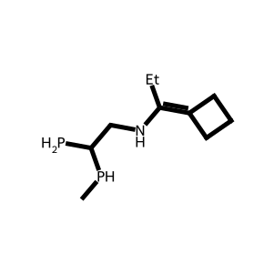 CCC(NCC(P)PC)=C1CCC1